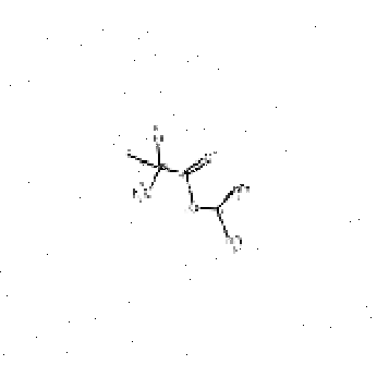 CCCC(CCC)OC(=O)C(C)(CC)C(F)(F)F